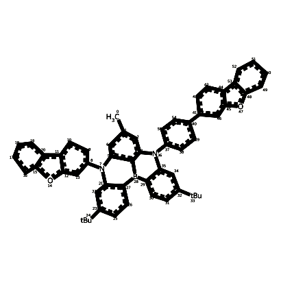 Cc1cc2c3c(c1)N(c1ccc4c(c1)oc1ccccc14)c1cc(C(C)(C)C)ccc1B3c1ccc(C(C)(C)C)cc1N2c1ccc(-c2ccc3c(c2)oc2ccccc23)cc1